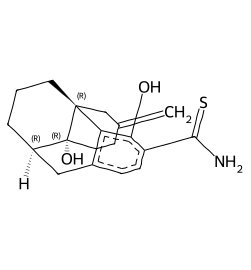 C=C1CC[C@@]2(O)[C@@H]3CCC[C@@]2(C1)c1c(ccc(C(N)=S)c1O)C3